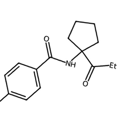 CCC(=O)C1(NC(=O)c2ccc(CC)cc2)CCCC1